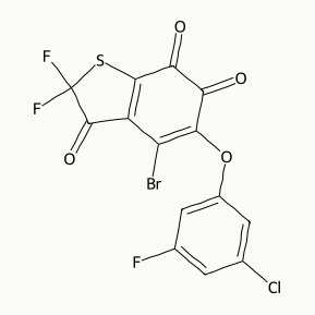 O=C1C(=O)C2=C(C(=O)C(F)(F)S2)C(Br)=C1Oc1cc(F)cc(Cl)c1